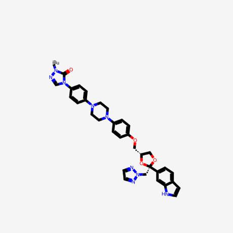 CCC(C)n1ncn(-c2ccc(N3CCN(c4ccc(OC[C@@H]5CO[C@@](Cn6nccn6)(c6ccc7cc[nH]c7c6)O5)cc4)CC3)cc2)c1=O